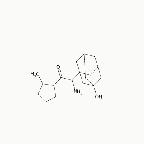 CC1CCCC1C(=O)C(N)C12CC3CC(CC(O)(C3)C1)C2